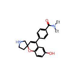 CCN(CC)C(=O)c1ccc(C2=CC3(CCNC3)Oc3ccc(O)cc32)cc1